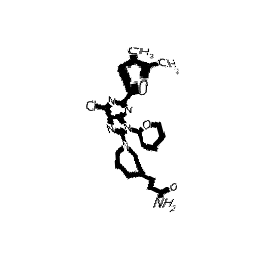 Cc1cc(-c2nc(Cl)c3nc(N4CCCC(CCC(N)=O)C4)n(C4CCCCO4)c3n2)oc1C